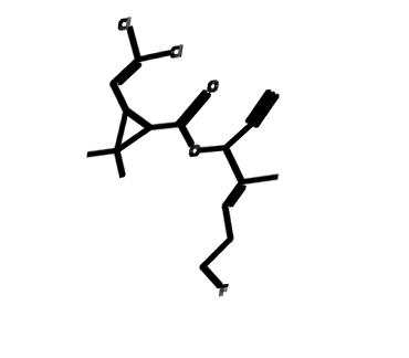 C#CC(OC(=O)C1C(C=C(Cl)Cl)C1(C)C)C(C)=CCCF